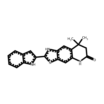 CC1(C)CC(=O)Nc2cc3nc(-c4cc5ccccc5[nH]4)[nH]c3cc21